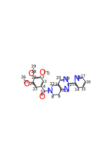 COc1cc(C(=O)N2CCc3nc(-c4ccccn4)ncc3C2)cc(OC)c1OC